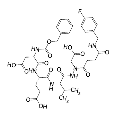 CC(C)[C@H](NC(=O)[C@H](CCC(=O)O)NC(=O)[C@H](CC(=O)O)NC(=O)OCc1ccccc1)C(=O)NN(CC(=O)O)C(=O)CCC(=O)NCc1ccc(F)cc1